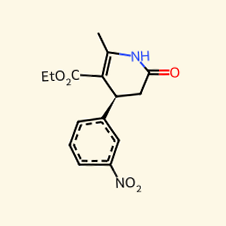 CCOC(=O)C1=C(C)NC(=O)C[C@H]1c1cccc([N+](=O)[O-])c1